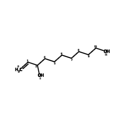 C=CC(O)CCCCCCCO